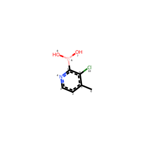 Cc1ccnc(B(O)O)c1Cl